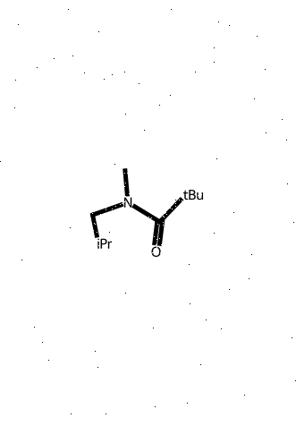 CC(C)CN(C)C(=O)C(C)(C)C